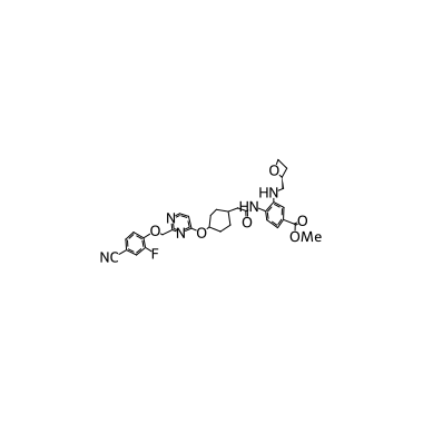 COC(=O)c1ccc(NC(=O)CC2CCC(Oc3ccnc(COc4ccc(C#N)cc4F)n3)CC2)c(NC[C@@H]2CCO2)c1